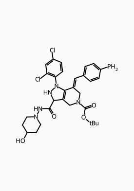 CC(C)(C)OC(=O)N1CC2=C(/C(=C/c3ccc(P)cc3)C1)N(c1ccc(Cl)cc1Cl)NC2C(=O)NN1CCC(O)CC1